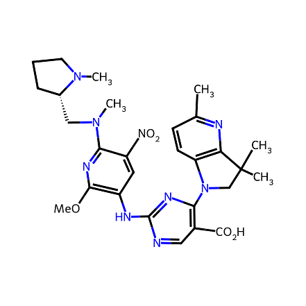 COc1nc(N(C)C[C@@H]2CCCN2C)c([N+](=O)[O-])cc1Nc1ncc(C(=O)O)c(N2CC(C)(C)c3nc(C)ccc32)n1